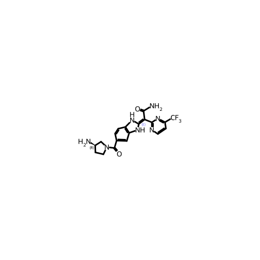 NC(=O)/C(=C1\Nc2ccc(C(=O)N3CC[C@@H](N)C3)cc2N1)c1nccc(C(F)(F)F)n1